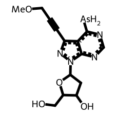 COCC#Cc1nn(C2CC(O)C(CO)O2)c2ncnc([AsH2])c12